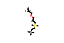 C[Si](C)(C)CCS(C)(C)CCCOCC1CO1